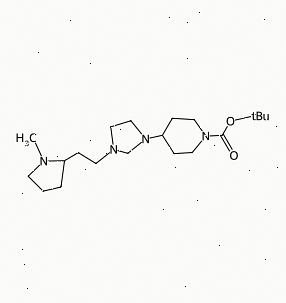 CN1CCCC1CCN1CCN(C2CCN(C(=O)OC(C)(C)C)CC2)C1